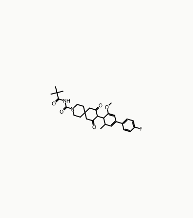 COC1=CC(c2ccc(F)cc2)=CC(C)C1C1C(=O)CC2(CCN(C(=O)NC(=O)C(C)(C)C)CC2)CC1=O